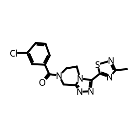 Cc1nsc(-c2nnc3n2CCN(C(=O)c2cccc(Cl)c2)C3)n1